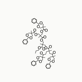 CCCOC(=O)C(C)(COC(=O)C(C)(COC(=O)C1(C)COC(c2ccccc2)OC1)COC(=O)C1(C)COC(c2ccccc2)OC1)COC(=O)C(C)(CCC(=O)C1(C)COC(c2ccccc2)OC1)CC(=O)C1(C)COC(c2ccccc2)OC1